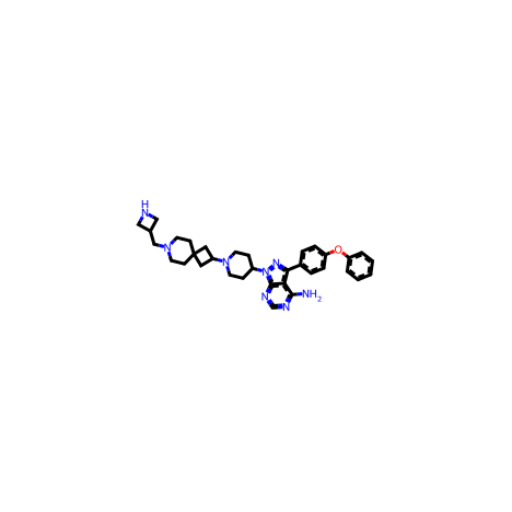 Nc1ncnc2c1c(-c1ccc(Oc3ccccc3)cc1)nn2C1CCN(C2CC3(CCN(CC4CNC4)CC3)C2)CC1